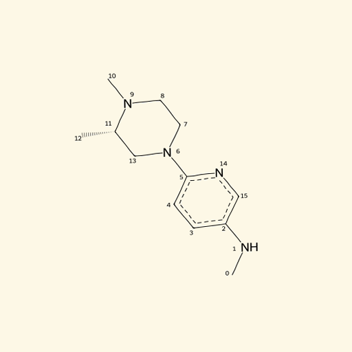 CNc1ccc(N2CCN(C)[C@@H](C)C2)nc1